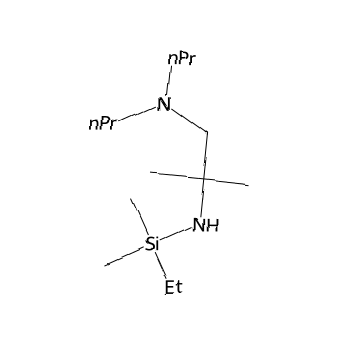 CCCN(CCC)CC(C)(C)N[Si](C)(C)CC